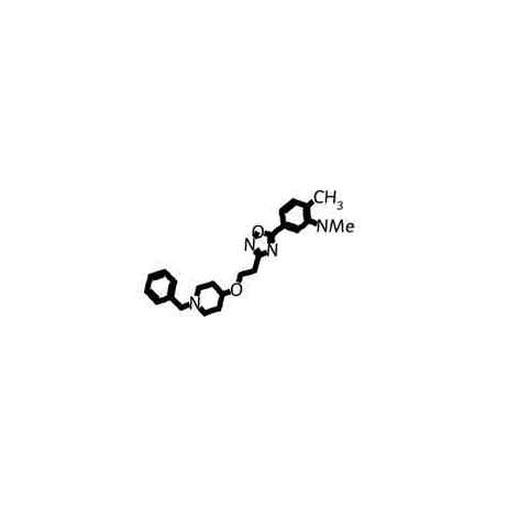 CNc1cc(-c2nc(CCOC3CCN(Cc4ccccc4)CC3)no2)ccc1C